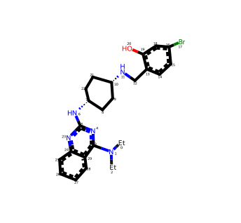 CCN(CC)c1nc(N[C@H]2CC[C@@H](NCc3ccc(Br)cc3O)CC2)nc2ccccc12